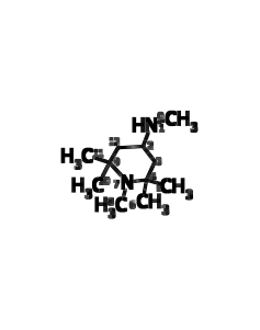 CNC1CC(C)(C)N(C)C(C)(C)C1